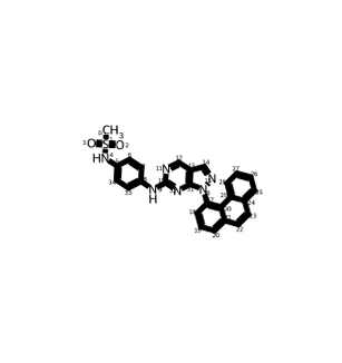 CS(=O)(=O)Nc1ccc(Nc2ncc3cnn(-c4cccc5ccc6ccccc6c45)c3n2)cc1